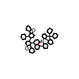 c1ccc(-c2ccccc2N(c2ccc(-c3c(-c4ccc5oc6ccccc6c5c4-c4ccccc4)ccc4oc5ccccc5c34)cc2)c2cccc3c2-c2ccccc2C3(c2ccccc2)c2ccccc2)cc1